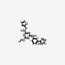 CCOc1nc(NCc2ccco2)nc(Nc2cccc(-c3nnc[nH]3)c2)n1